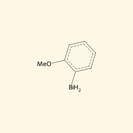 COc1cccc[c]1[BiH2]